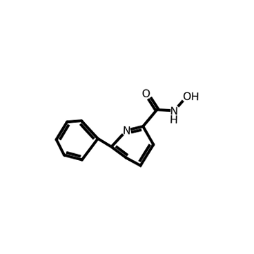 O=C(NO)c1cccc(-c2ccccc2)n1